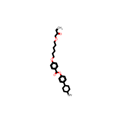 C=CC(=O)COCCCCCCOc1ccc(C(=O)Oc2ccc(C3CCC(CCC)CC3)cc2)cc1